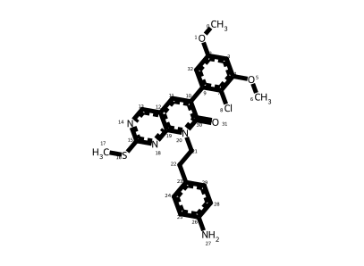 COc1cc(OC)c(Cl)c(-c2cc3cnc(SC)nc3n(CCc3ccc(N)cc3)c2=O)c1